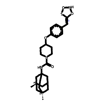 C[C@]12CC3CC(NC(=O)N4CCC(Oc5ccc(/C=C6/ONOS6)cc5)CC4)(C1)C[C@@](C)(C3)C2